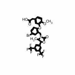 COc1ccc(CC(=O)O)cc1Oc1ccc(Br)cc1CN1C(=O)OC(c2cc(C(F)(F)F)cc(C(F)(F)F)c2)C1C